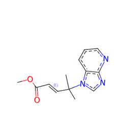 COC(=O)/C=C/C(C)(C)n1cnc2ncccc21